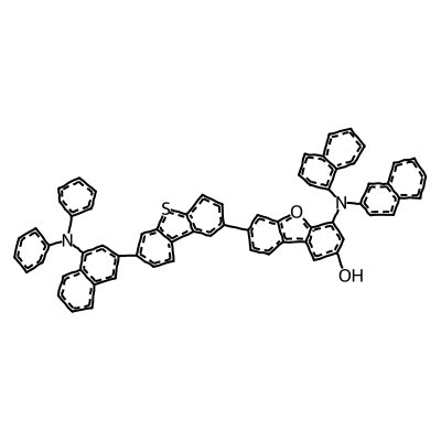 Oc1cc(N(c2ccc3ccccc3c2)c2cccc3ccccc23)c2oc3cc(-c4ccc5sc6cc(-c7cc(N(c8ccccc8)c8ccccc8)c8ccccc8c7)ccc6c5c4)ccc3c2c1